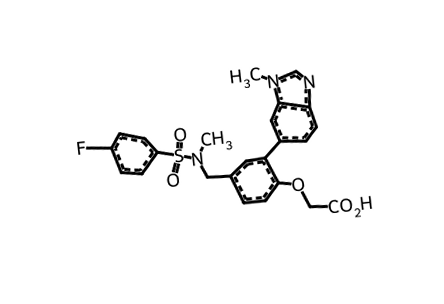 CN(Cc1ccc(OCC(=O)O)c(-c2ccc3ncn(C)c3c2)c1)S(=O)(=O)c1ccc(F)cc1